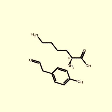 NCCCC[C@H](N)C(=O)O.O=CCc1ccc(O)cc1